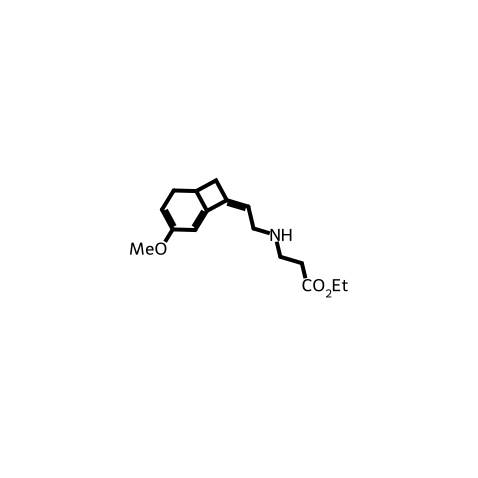 CCOC(=O)CCNCC=C1CC2CC=C(OC)C=C12